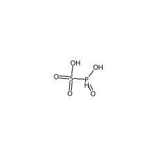 O=[PH](O)S(=O)(=O)O